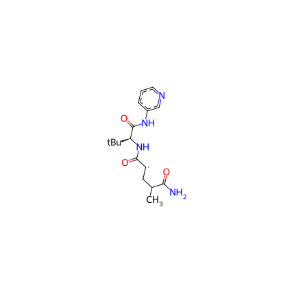 CC(C[CH]C(=O)N[C@H](C(=O)Nc1cccnc1)C(C)(C)C)C(N)=O